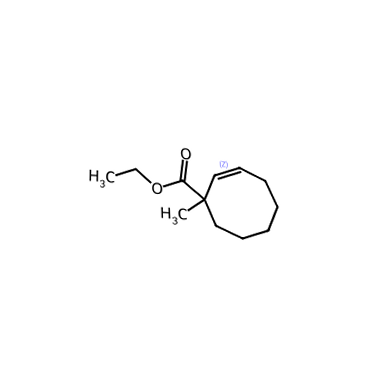 CCOC(=O)C1(C)/C=C\CCCCC1